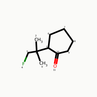 CC(C)(CF)C1CCCCC1=O